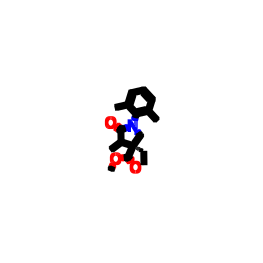 CC[C@@]1(C(=O)OC)CN(c2c(C)cccc2C)C(=O)C1C